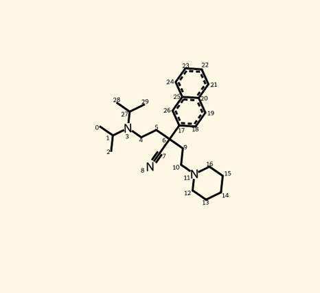 CC(C)N(CCC(C#N)(CCN1CCCCC1)c1ccc2ccccc2c1)C(C)C